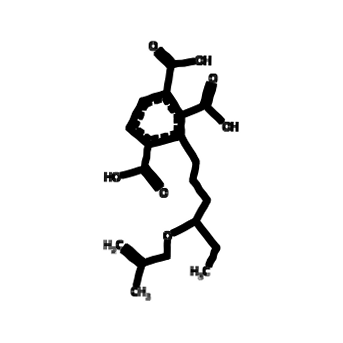 C=C(C)COC(CC)CCCc1c(C(=O)O)ccc(C(=O)O)c1C(=O)O